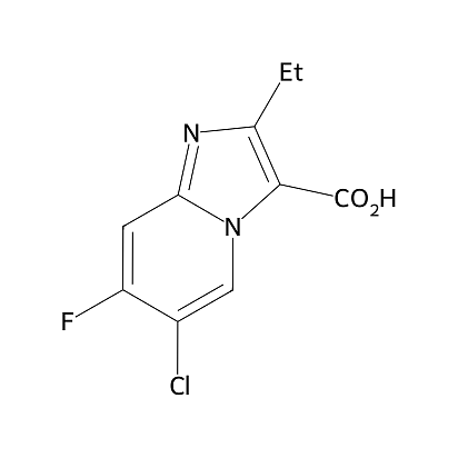 CCc1nc2cc(F)c(Cl)cn2c1C(=O)O